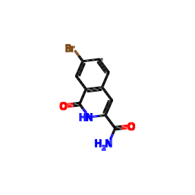 NC(=O)c1cc2c[c]c(Br)cc2c(=O)[nH]1